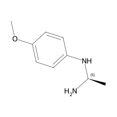 COc1ccc(N[C@@H](C)N)cc1